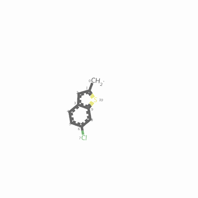 [CH2]c1cc2ccc(Cl)cc2s1